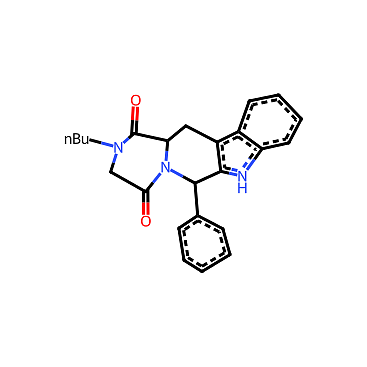 CCCCN1CC(=O)N2C(Cc3c([nH]c4ccccc34)C2c2ccccc2)C1=O